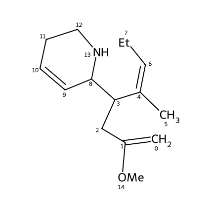 C=C(CC(/C(C)=C\CC)C1C=CCCN1)OC